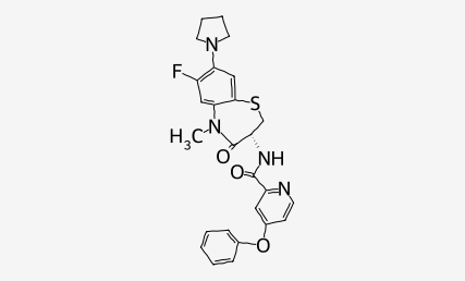 CN1C(=O)[C@@H](NC(=O)c2cc(Oc3ccccc3)ccn2)CSc2cc(N3CCCC3)c(F)cc21